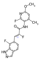 COc1cc(C)c(NC(=O)/C(F)=C/c2ccc3cn[nH]c3c2F)c(F)n1